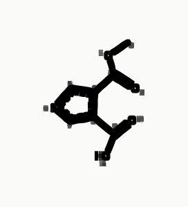 COC(=O)c1cscc1C(=O)O